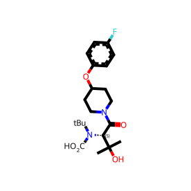 CC(C)(O)[C@@H](C(=O)N1CCC(Oc2ccc(F)cc2)CC1)N(C(=O)O)C(C)(C)C